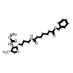 C[C@H]1CS[C@@H](CCCCNC(=O)CCCCCC(=O)OCc2ccccc2)[C@H]1NC(=O)OC(C)(C)C